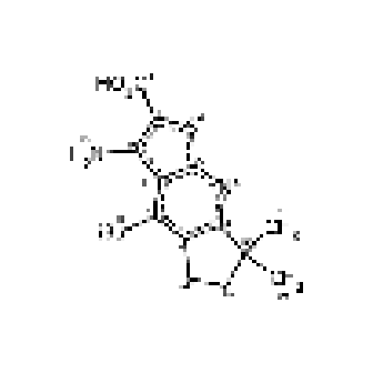 CCC(C)c1c2c(nc3sc(C(=O)O)c(N)c13)C(C)(C)CC2